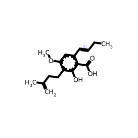 C=C(C)CCc1c(OC)cc(/C=C/CC)c(C(=O)O)c1O